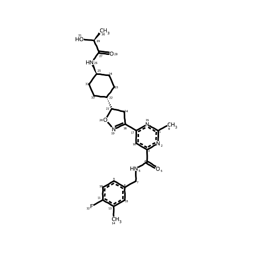 Cc1nc(C(=O)NCc2ccc(F)c(C)c2)cc(C2=NOC([C@H]3CC[C@H](NC(=O)[C@H](C)O)CC3)C2)n1